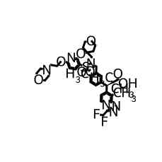 Cc1ccc([C@H](c2ccn3c(C(F)F)nnc3c2C)C(C)(C)C(=O)O)cc1CN1CC2(CCOCC2)Oc2nc(OCCN3CCOCC3)ccc2S1(=O)=O